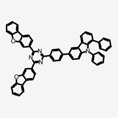 c1ccc(-c2cccc3c4cc(-c5ccc(-c6nc(-c7ccc8c(c7)oc7ccccc78)nc(-c7ccc8c(c7)oc7ccccc78)n6)cc5)ccc4n(-c4ccccc4)c23)cc1